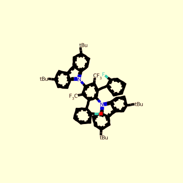 CC(C)(C)c1ccc2c(c1)c1cc(C(C)(C)C)ccc1n2-c1c(-c2ccccc2F)c(C(F)(F)F)c(-n2c3ccc(C(C)(C)C)cc3c3cc(C(C)(C)C)ccc32)c(C(F)(F)F)c1-c1ccccc1F